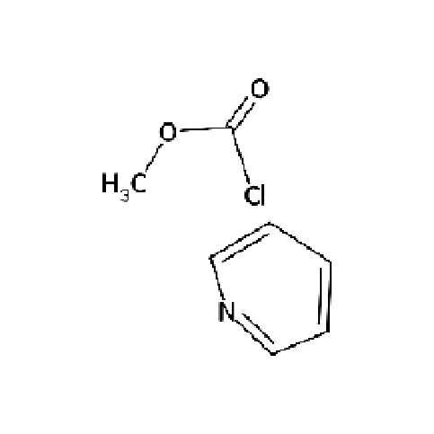 COC(=O)Cl.c1ccncc1